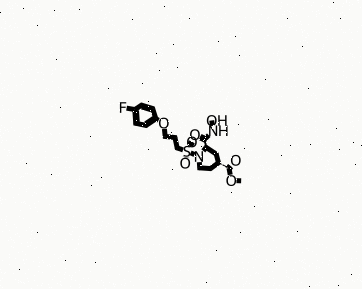 COC(=O)[C@@H]1CCN(S(=O)(=O)CCCOc2ccc(F)cc2)[C@@H](C(=O)NO)C1